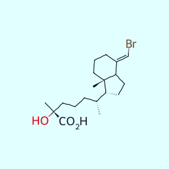 C[C@H](CCC[C@@](C)(O)C(=O)O)[C@H]1CCC2C(=CBr)CCC[C@]21C